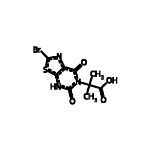 CC(C)(C(=O)O)n1c(=O)[nH]c2sc(Br)nc2c1=O